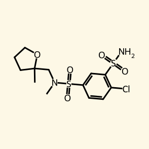 CN(CC1(C)CCCO1)S(=O)(=O)c1ccc(Cl)c(S(N)(=O)=O)c1